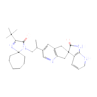 CC(CN1C(=O)C(C(C)(C)C)=NC12CCCCCC2)c1cnc2c(c1)CC1(C2)C(=O)NC2=C1C=CCN2